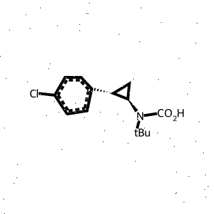 CC(C)(C)N(C(=O)O)[C@@H]1C[C@H]1c1ccc(Cl)cc1